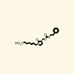 O=C(O)CCCC=CCN1CC[C@H](COC(=O)SCCc2ccccc2)C1=O